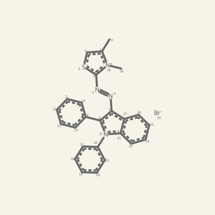 Cc1csc(/N=N/c2c(-c3ccccc3)n(-c3ccccc3)c3ccccc23)[n+]1C.[Br-]